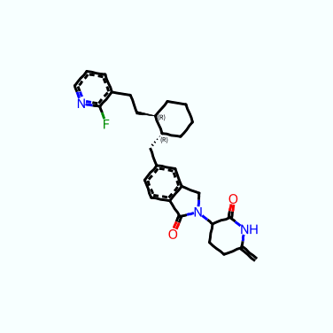 C=C1CCC(N2Cc3cc(C[C@H]4CCCC[C@@H]4CCc4cccnc4F)ccc3C2=O)C(=O)N1